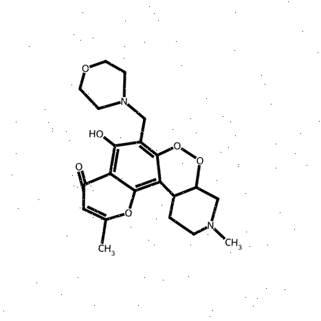 Cc1cc(=O)c2c(O)c(CN3CCOCC3)c3c(c2o1)C1CCN(C)CC1OO3